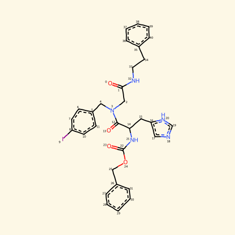 O=C(CN(Cc1ccc(I)cc1)C(=O)C(Cc1cnc[nH]1)NC(=O)OCc1ccccc1)NCCc1ccccc1